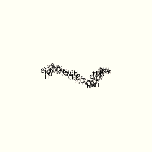 CC(C)(C1CCN(c2ccc(-c3cnc4[nH]cc(C(=O)c5c(F)ccc(NS(=O)(=O)N6CC[C@@H](F)C6)c5F)c4c3)cc2)CC1)N1CC2(CN(c3ccc4c(c3)CN(C3CCC(=O)NC3=O)C4=O)C2)C1